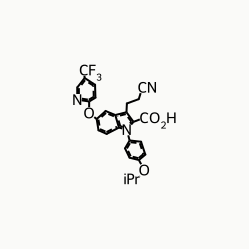 CC(C)Oc1ccc(-n2c(C(=O)O)c(CCC#N)c3cc(Oc4ccc(C(F)(F)F)cn4)ccc32)cc1